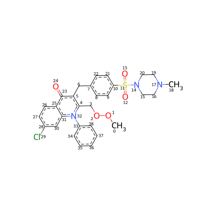 COOCc1c(Cc2ccc(S(=O)(=O)N3CCN(C)CC3)cc2)c(=O)c2ccc(Cl)cc2n1-c1ccccc1